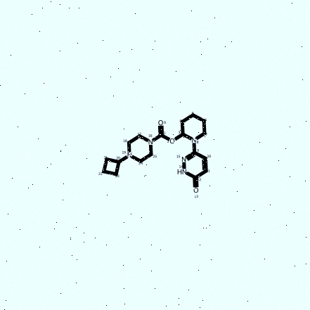 O=C(OC1CCCCN1c1ccc(=O)[nH]n1)N1CCN(C2CCC2)CC1